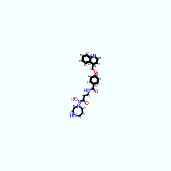 O=C(NCCC(=O)N(O)N1CCCNCC1)c1ccc(OCc2ccnc3ccccc23)cc1